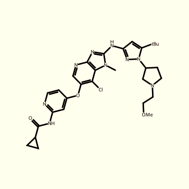 COCCN1CCC(n2nc(Nc3nc4ncc(Oc5ccnc(NC(=O)C6CC6)c5)c(Cl)c4n3C)cc2C(C)(C)C)C1